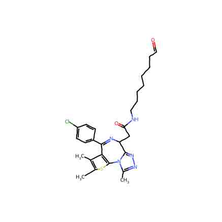 Cc1sc2c(c1C)C(c1ccc(Cl)cc1)=NC(CC(=O)NCCCCCCCC=O)c1nnc(C)n1-2